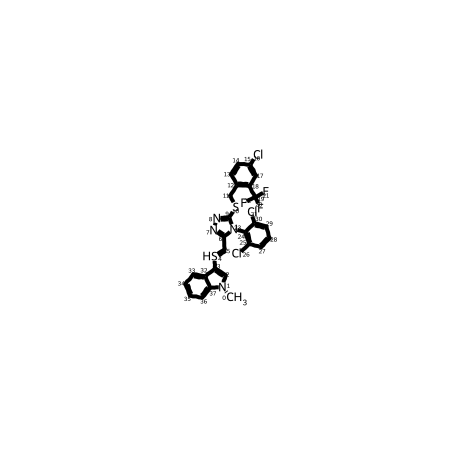 Cn1cc([SH]=Cc2nnc(SCc3ccc(Cl)cc3C(F)(F)F)n2-c2c(Cl)cccc2Cl)c2ccccc21